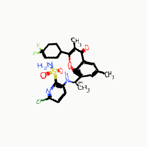 Cc1cc([C@@H](C)Nc2ccc(Cl)nc2S(N)(=O)=O)c2oc(C3CCC(F)(F)CC3)c(C)c(=O)c2c1